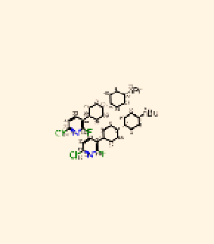 CCCC[C@H]1CC[C@H](C2CCC(c3ccc(Cl)nc3F)CC2)CC1.CCC[C@H]1CC[C@H](C2CCC(c3ccc(Cl)nc3F)CC2)CC1